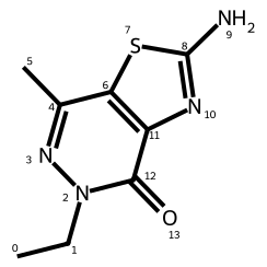 CCn1nc(C)c2sc(N)nc2c1=O